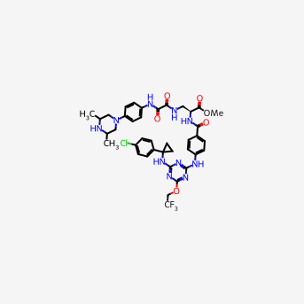 COC(=O)[C@H](CNC(=O)C(=O)Nc1ccc(N2CC(C)NC(C)C2)cc1)NC(=O)c1ccc(Nc2nc(NC3(c4ccc(Cl)cc4)CC3)nc(OCC(F)(F)F)n2)cc1